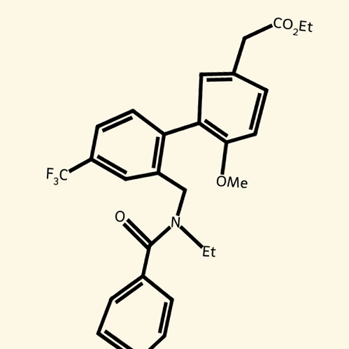 CCOC(=O)Cc1ccc(OC)c(-c2ccc(C(F)(F)F)cc2CN(CC)C(=O)c2ccccc2)c1